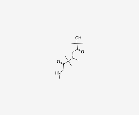 CNCC(=O)C(C)(C)N(C)CC(=O)C(C)(C)O